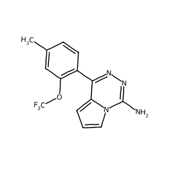 Cc1ccc(-c2nnc(N)n3cccc23)c(OC(F)(F)F)c1